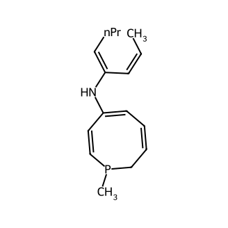 C/C=C\C(=C/CCC)NC1=C/C=C\CP(C)/C=C\1